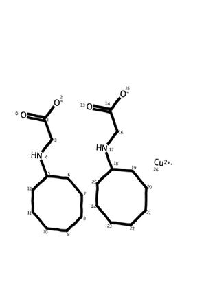 O=C([O-])CNC1CCCCCCC1.O=C([O-])CNC1CCCCCCC1.[Cu+2]